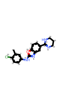 Cc1cc(Nc2nc3cc(C4=NCCCN4)ccc3o2)ccc1Cl